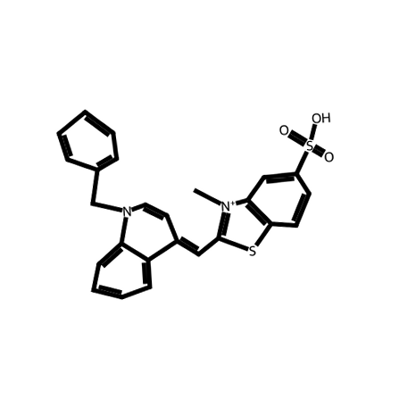 C[n+]1c(/C=C2\C=CN(Cc3ccccc3)c3ccccc32)sc2ccc(S(=O)(=O)O)cc21